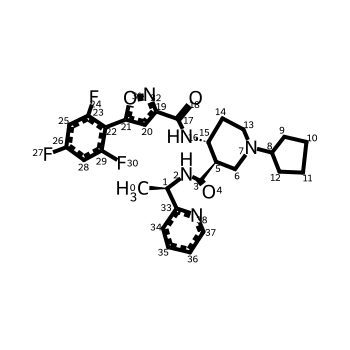 C[C@@H](NC(=O)[C@@H]1CN(C2CCCC2)CC[C@H]1NC(=O)c1cc(-c2c(F)cc(F)cc2F)on1)c1ccccn1